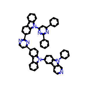 c1ccc(-c2cc(-n3c4ccccc4c4ccc(-c5nccc(-c6ccc7c(c6)c6ccccc6n7-c6ccc7c(c6)c6ccncc6n7-c6ccccc6)n5)cc43)nc(-c3ccccc3)n2)cc1